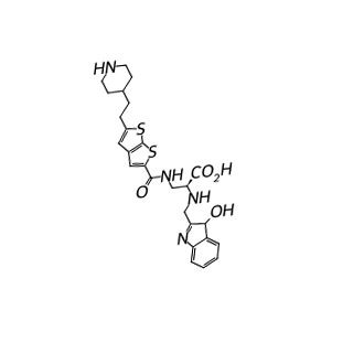 O=C(NC[C@H](NCC1=Nc2ccccc2C1O)C(=O)O)c1cc2cc(CCC3CCNCC3)sc2s1